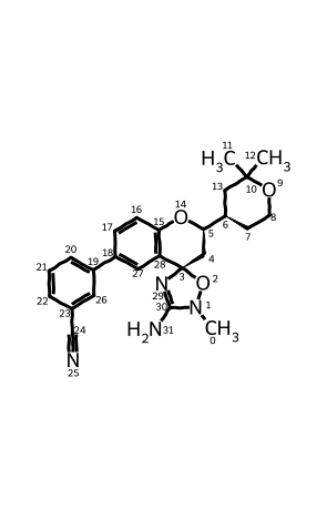 CN1O[C@]2(C[C@H]([C@@H]3CCOC(C)(C)C3)Oc3ccc(-c4cccc(C#N)c4)cc32)N=C1N